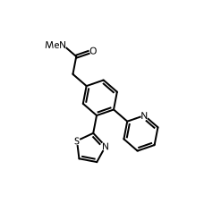 CNC(=O)Cc1ccc(-c2ccccn2)c(-c2nccs2)c1